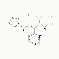 C=C(CCC)/C(=C(/C)CCCCC)C(/N=C(\C)c1nccs1)c1ccccc1Br